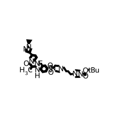 Cc1c(Nc2ccc(S(=O)(=O)N3CCN(CCCCN4CCN(C(=O)OC(C)(C)C)CC4)CC3)cc2F)nc2ccc(-c3cnn(C4CC4)c3)cn2c1=O